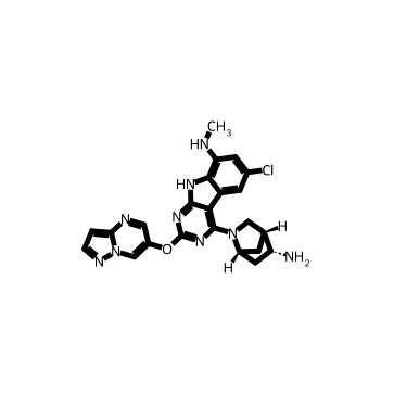 CNc1cc(Cl)cc2c1[nH]c1nc(Oc3cnc4ccnn4c3)nc(N3C[C@H]4C[C@@H]3C[C@H]4N)c12